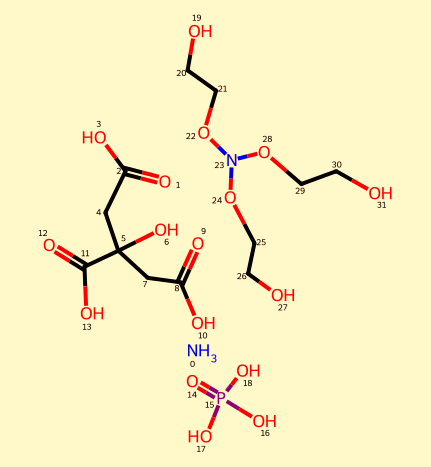 N.O=C(O)CC(O)(CC(=O)O)C(=O)O.O=P(O)(O)O.OCCON(OCCO)OCCO